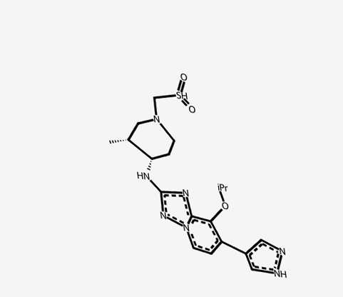 CC(C)Oc1c(-c2cn[nH]c2)ccn2nc(N[C@H]3CCN(C[SH](=O)=O)C[C@H]3C)nc12